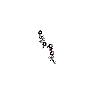 COCCN(C)C(=O)Oc1ccc(-c2cc3nccc(Oc4ccc(NC(=O)N5CCN(c6ccccc6)C5=S)cc4F)c3s2)nc1